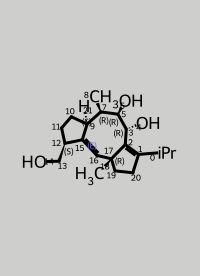 CC(C)C1=C2[C@@H](O)[C@H](O)[C@H](C)[C@@H]3CC[C@H](CO)/C3=C/[C@@]2(C)CC1